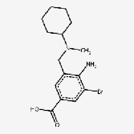 CN(Cc1cc(C(=O)O)cc(Br)c1N)C1CCCCC1